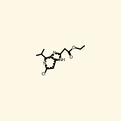 CCOC(=O)Cc1nc2c(C(C)C)nc(Cl)cc2[nH]1